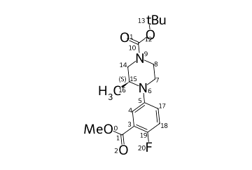 COC(=O)c1cc(N2CCN(C(=O)OC(C)(C)C)C[C@@H]2C)ccc1F